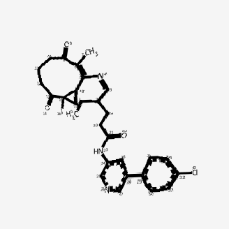 CCC(/C=N\C1=C(/C)C(=O)CCCC(=O)C2(I)CC12)CCC(=O)Nc1cncc(-c2ccc(Cl)cc2)c1